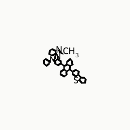 CCc1nc2cccc3c2n1-c1cc(-c2c4ccccc4c(-c4ccc5c(c4)sc4ccccc45)c4ccccc24)ccc1N3c1ccccc1